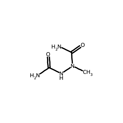 CN(NC(N)=O)C(N)=O